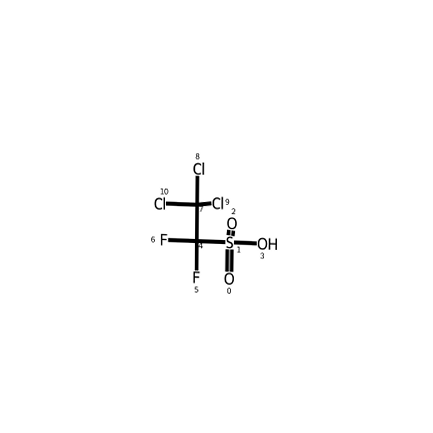 O=S(=O)(O)C(F)(F)C(Cl)(Cl)Cl